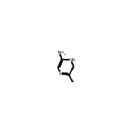 CC1=NC=C(N)NC1